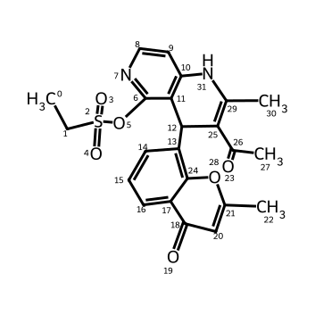 CCS(=O)(=O)Oc1nccc2c1C(c1cccc3c(=O)cc(C)oc13)C(C(C)=O)=C(C)N2